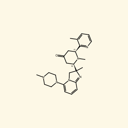 Cc1cccnc1[C@@H]1CC(=O)C[C@H](C2(C)CN3C(N4CCN(C)CC4)=CC=CC3=N2)N1C